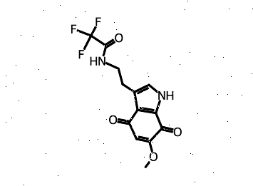 COC1=CC(=O)c2c(CCNC(=O)C(F)(F)F)c[nH]c2C1=O